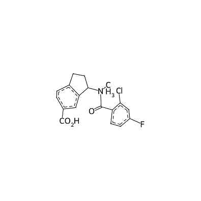 CN(C(=O)c1ccc(F)cc1Cl)C1CCc2ccc(C(=O)O)cc21